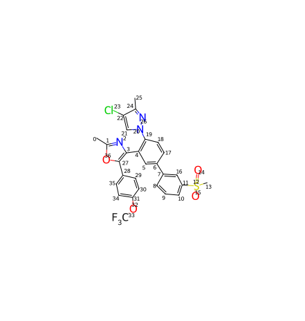 Cc1nc(-c2cc(-c3cccc(S(C)(=O)=O)c3)ccc2-n2cc(Cl)c(C)n2)c(-c2ccc(OC(F)(F)F)cc2)o1